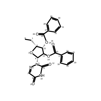 CC[C@H]1O[C@@H](n2ncc(=O)[nH]c2=O)C(OC(=O)c2ccccc2)[C@H]1OC(=O)c1ccccc1